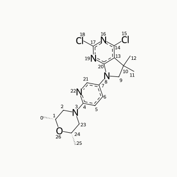 C[C@@H]1CN(c2ccc(N3CC(C)(C)c4c(Cl)nc(Cl)nc43)cn2)C[C@H](C)O1